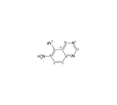 CC(C)c1c(N)ccc2ncncc12